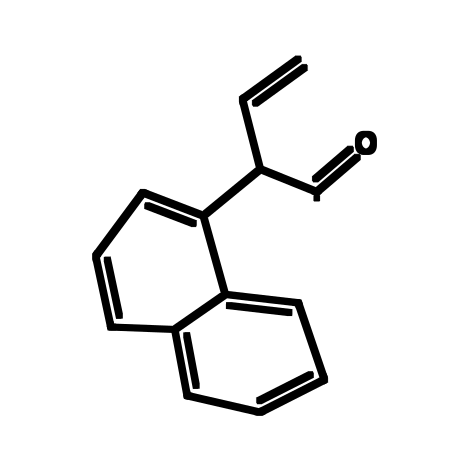 C=CC([C]=O)c1cccc2ccccc12